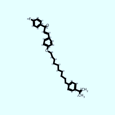 C=C(C)c1ccc(CCCCCCCCCCOc2ccc(/C=C/C(=O)c3ccc(F)cc3)cc2)cc1